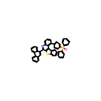 O=P(c1ccccc1)(c1ccccc1)c1ccc(-c2cccc3nc(-c4cc5ccccc5c5ccccc45)c4sc5ccccc5c4c23)cc1